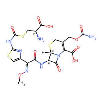 CON=C(C(=O)N[C@@H]1C(=O)N2C(C(=O)O)=C(COC(N)=O)CS[C@@H]12)c1csc(NC(=O)SC[C@H](N)C(=O)O)n1